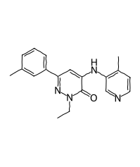 CCn1nc(-c2cccc(C)c2)cc(Nc2cnccc2C)c1=O